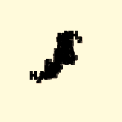 CC1(C)O[C@H]2[C@H](n3ccc4c(N)ncnc43)[C@H]3C=C[C@@]3(CCc3ccc4ccc(N)nc4c3F)[C@H]2O1